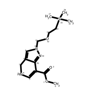 COC(=O)C1=CNCc2cn(COCC[Si](C)(C)C)nc21